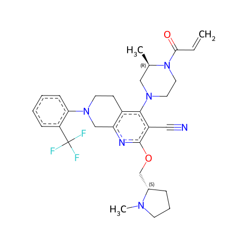 C=CC(=O)N1CCN(c2c(C#N)c(OC[C@@H]3CCCN3C)nc3c2CCN(c2ccccc2C(F)(F)F)C3)C[C@H]1C